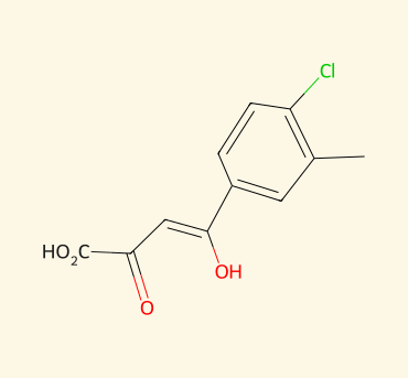 Cc1cc(C(O)=CC(=O)C(=O)O)ccc1Cl